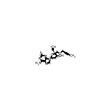 C#C[C@]1(COCC#CC)O[C@@H](n2cnc3c(N)nc(F)nc32)C[C@@H]1O